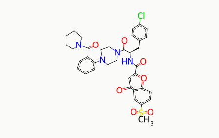 CS(=O)(=O)c1ccc2oc(C(=O)N[C@H](Cc3ccc(Cl)cc3)C(=O)N3CCN(c4ccccc4C(=O)N4CCCCC4)CC3)cc(=O)c2c1